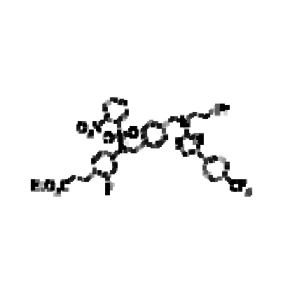 CCOC(=O)CCc1ccc(N(Cc2ccc(CN(CCC(C)C)c3nc(-c4ccc(C(F)(F)F)cc4)cs3)cc2)S(=O)(=O)c2ccccc2[N+](=O)[O-])cc1F